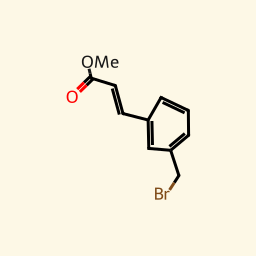 COC(=O)C=Cc1cccc(CBr)c1